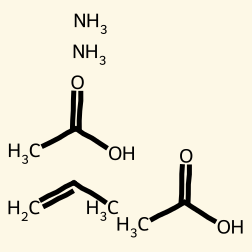 C=CC.CC(=O)O.CC(=O)O.N.N